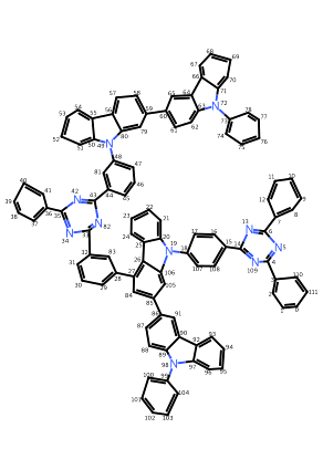 c1ccc(-c2nc(-c3ccccc3)nc(-c3ccc(-n4c5ccccc5c5c(-c6cccc(-c7nc(-c8ccccc8)nc(-c8cccc(-n9c%10ccccc%10c%10ccc(-c%11ccc%12c(c%11)c%11ccccc%11n%12-c%11ccccc%11)cc%109)c8)n7)c6)cc(-c6ccc7c(c6)c6ccccc6n7-c6ccccc6)cc54)cc3)n2)cc1